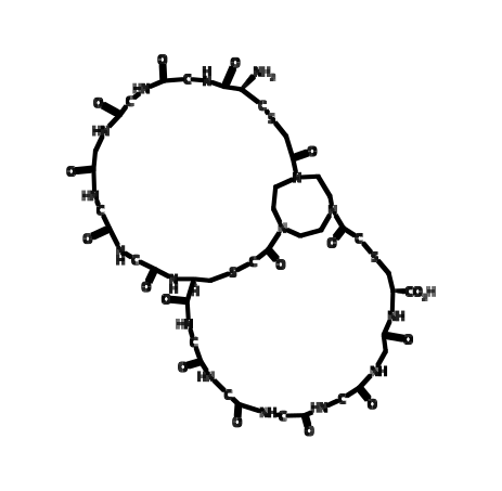 N[C@H]1CSCC(=O)N2CCN3CCN(CC2)C(=O)CSC[C@H](NC(=O)CNC(=O)CNC(=O)CNC(=O)CNC(=O)CNC1=O)C(=O)NCC(=O)NCC(=O)NCC(=O)NCC(=O)NCC(=O)N[C@H](C(=O)O)CSCC3=O